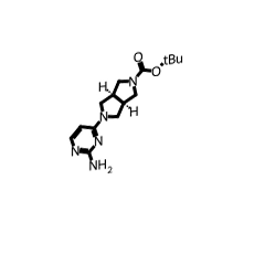 CC(C)(C)OC(=O)N1C[C@@H]2CN(c3ccnc(N)n3)C[C@@H]2C1